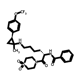 CC1(NCCCC[C@H](NC(=O)c2ccccc2)C(=O)N2CCS(=O)(=O)CC2)C[C@H]1c1ccc(OC(F)(F)F)cc1